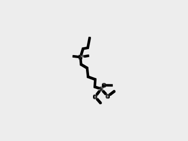 CCC[N+](C)(C)CCCCC[Si](OC)(OC)OC